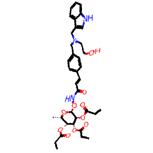 CCC(=O)O[C@H]1[C@H](OC(=O)CC)[C@H](ONC(=O)/C=C/c2ccc(CN(CCO)Cc3c[nH]c4ccccc34)cc2)O[C@@H](C)[C@H]1OC(=O)CC